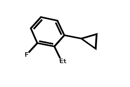 CCc1c(F)cccc1C1CC1